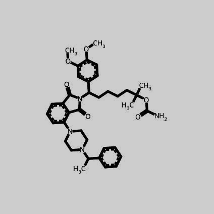 COc1ccc(C(CCCCC(C)(C)OC(N)=O)N2C(=O)c3cccc(N4CCN(C(C)c5ccccc5)CC4)c3C2=O)cc1OC